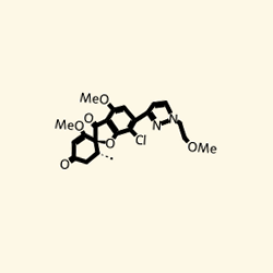 COCCn1ccc(-c2cc(OC)c3c(c2Cl)O[C@]2(C3=O)C(OC)=CC(=O)C[C@H]2C)n1